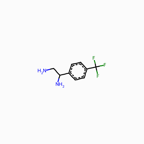 NCC(N)c1ccc(C(F)(F)F)cc1